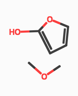 COC.Oc1ccco1